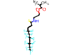 C=C(C)C(=O)OCCNC(=S)CCC(F)(F)C(F)(F)C(F)(F)C(F)(F)C(F)(F)C(F)(F)F